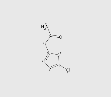 NC(=O)[CH]c1ccc(Cl)s1